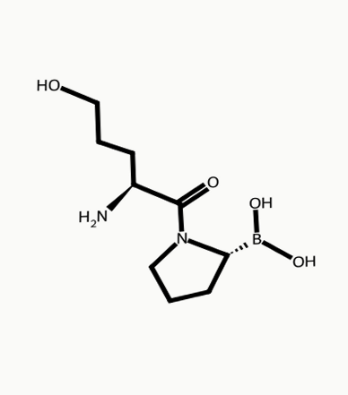 N[C@@H](CCCO)C(=O)N1CCC[C@H]1B(O)O